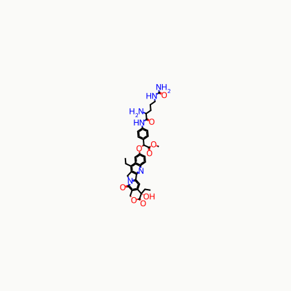 CCc1c2c(nc3ccc(OC(C(=O)OC)c4ccc(NC(=O)C(N)CCCNC(N)=O)cc4)cc13)-c1cc3c(c(=O)n1C2)COC(=O)[C@]3(O)CC